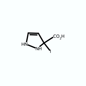 O=C(O)C1(I)C=CNN1